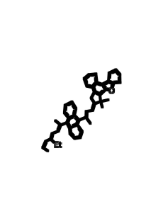 C\C=C/C(=C/C=C(\C)c1c2ccccc2c(/C(C)=C/C=C2\Cc3c(c4oc5ccccc5c4c4ccccc34)C2(C)C)c2ccccc12)CC